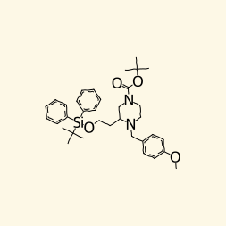 COc1ccc(CN2CCN(C(=O)OC(C)(C)C)CC2CCO[Si](c2ccccc2)(c2ccccc2)C(C)(C)C)cc1